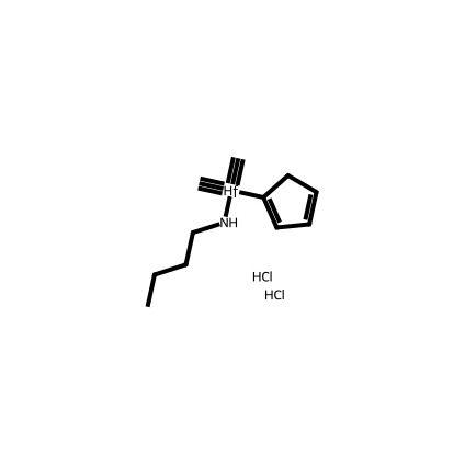 Cl.Cl.[CH]#[Hf](#[CH])([NH]CCCC)[C]1=CC=CC1